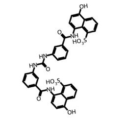 O=C(Nc1cccc(C(=O)Nc2ccc(O)c3cccc(S(=O)(=O)O)c23)c1)Nc1cccc(C(=O)Nc2ccc(O)c3cccc(S(=O)(=O)O)c23)c1